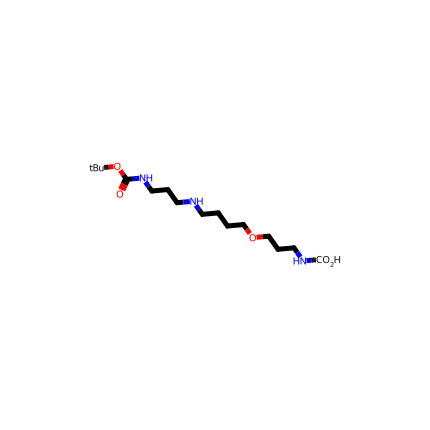 CC(C)(C)OC(=O)NCCCNCCCCOCCCNC(=O)O